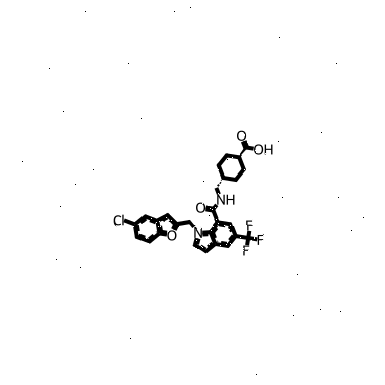 O=C(NC[C@H]1CC[C@H](C(=O)O)CC1)c1cc(C(F)(F)F)cc2ccn(Cc3cc4cc(Cl)ccc4o3)c12